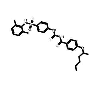 CCCCC(C)Oc1ccc(C(=O)NC(=S)Nc2ccc(S(=O)(=O)Nc3c(C)cccc3C)cc2)cc1